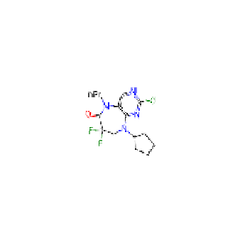 CCCN1C(=O)C(F)(F)CN(C2CCCC2)c2nc(Cl)ncc21